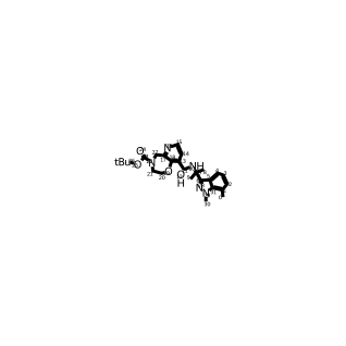 Cc1cccc2c(C(C)(C)NC(O)c3ccnc4c3OCCN(C(=O)OC(C)(C)C)C4)nn(C)c12